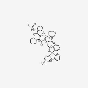 Cc1ccc(C(OC(=O)C[C@@H](C(=O)N2CCCCC2)N(C)C(=O)[C@H](C2CCCCC2)N(C)C(=O)C2(NC(=O)CI)CCCC2)(c2ccccc2)c2ccccc2Cl)cc1